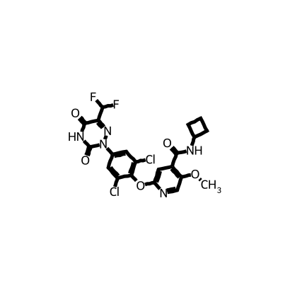 COc1cnc(Oc2c(Cl)cc(-n3nc(C(F)F)c(=O)[nH]c3=O)cc2Cl)cc1C(=O)NC1CCC1